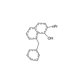 CCCc1ccc2cccc(Cc3ccccc3)c2c1O